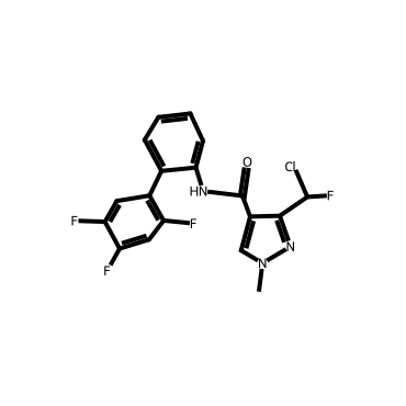 Cn1cc(C(=O)Nc2ccccc2-c2cc(F)c(F)cc2F)c(C(F)Cl)n1